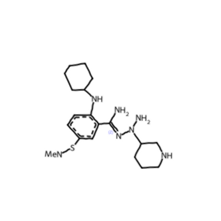 CNSc1ccc(NC2CCCCC2)c(/C(N)=N/N(N)C2CCCNC2)c1